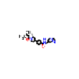 CC(C)=CC(=O)N1CCC(c2ccc(C(=O)NCc3ccn4ccnc4c3)cc2)CC1